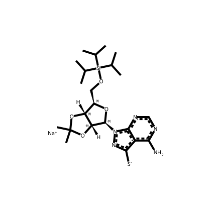 CC(C)[Si](OC[C@H]1O[C@@H](n2nc([S-])c3c(N)ncnc32)[C@@H]2OC(C)(C)O[C@@H]21)(C(C)C)C(C)C.[Na+]